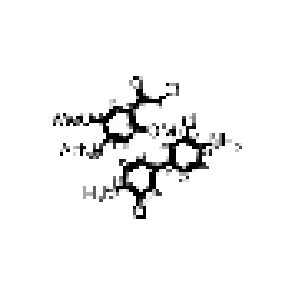 COc1cc(C(=O)CCl)c(OC)cc1NC(C)=O.Nc1ccc(-c2ccc(N)c(Cl)c2)cc1Cl